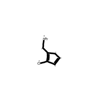 CCCCC1=C(Cl)C=CC1